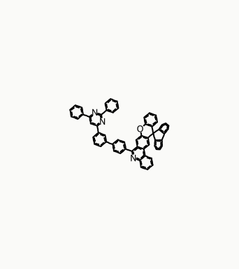 c1ccc(-c2cc(-c3cccc(-c4ccc(-c5nc6ccccc6c6cc7c(cc56)Oc5ccccc5C75c6ccccc6-c6ccccc65)cc4)c3)nc(-c3ccccc3)n2)cc1